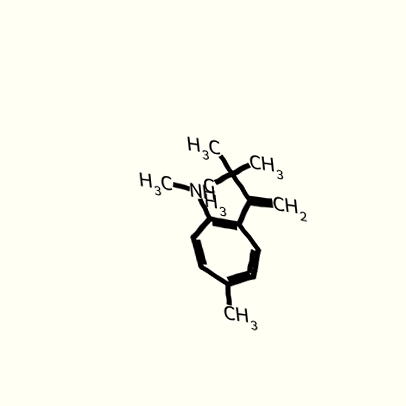 C=C(C1=C(NC)C=CC(C)=C=C1)C(C)(C)C